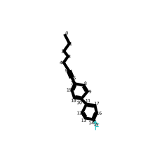 CCCCCC#Cc1ccc(-c2ccc(F)cc2)cc1